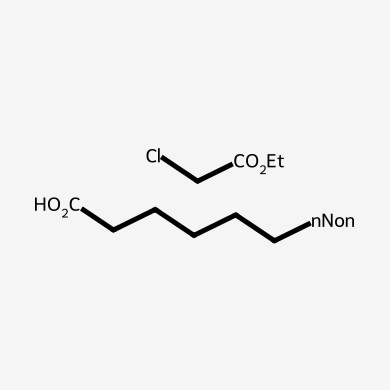 CCCCCCCCCCCCCCC(=O)O.CCOC(=O)CCl